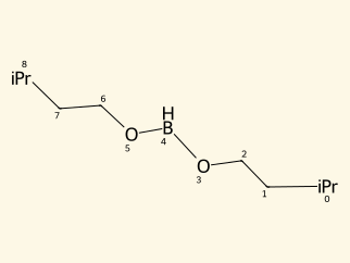 CC(C)CCOBOCCC(C)C